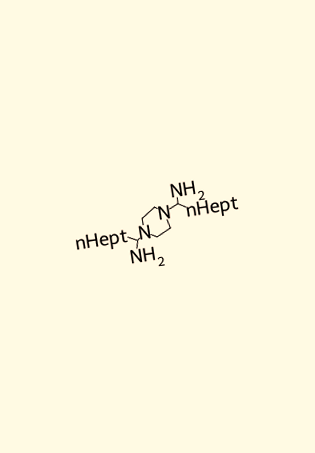 CCCCCCCC(N)N1CCN(C(N)CCCCCCC)CC1